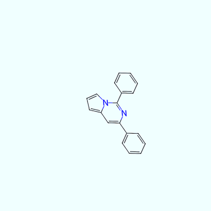 c1ccc(-c2cc3cccn3c(-c3ccccc3)n2)cc1